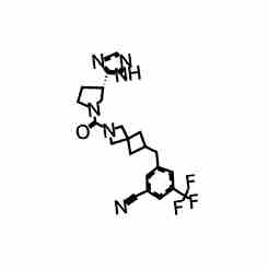 N#Cc1cc(CC2CC3(C2)CN(C(=O)N2CC[C@H](c4ncn[nH]4)C2)C3)cc(C(F)(F)F)c1